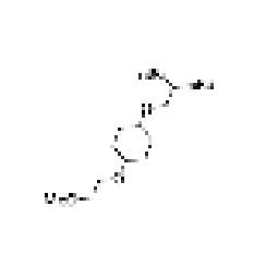 CCCCC(CCCC)COC1CCC(OCCOC)CC1